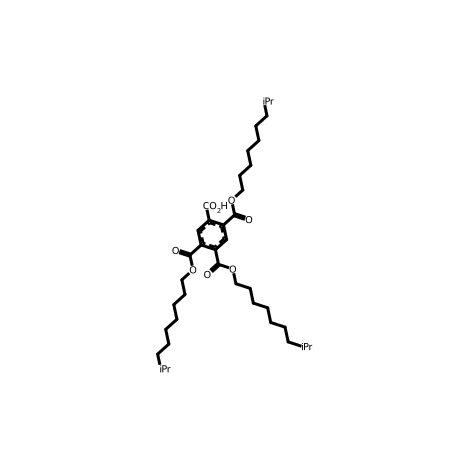 CC(C)CCCCCCCOC(=O)c1cc(C(=O)OCCCCCCCC(C)C)c(C(=O)OCCCCCCCC(C)C)cc1C(=O)O